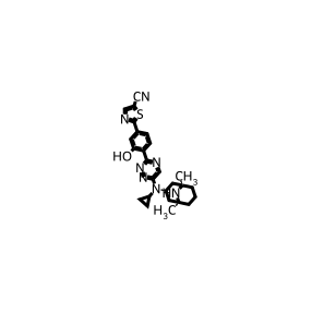 C[C@]12CCC[C@](C)(C[C@@H](N(c3cnc(-c4ccc(-c5ncc(C#N)s5)cc4O)nn3)C3CC3)C1)N2